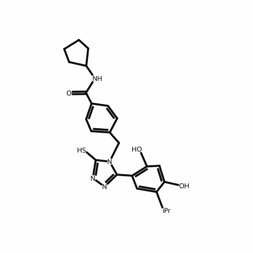 CC(C)c1cc(-c2nnc(S)n2Cc2ccc(C(=O)NC3CCCC3)cc2)c(O)cc1O